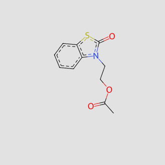 CC(=O)OCCn1c(=O)sc2ccccc21